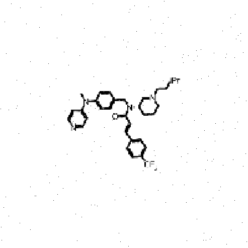 CC(C)CCN1CCC[C@H](N(Cc2ccc(N(C)c3ccncc3)cc2)C(=O)/C=C/c2ccc(C(F)(F)F)cc2)C1